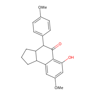 COc1ccc(C2C(=O)c3c(O)cc(OC)cc3C3CCCC32)cc1